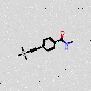 CNC(=O)c1ccc(C#C[Si](C)(C)C)cc1